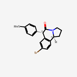 CSc1ccc([C@@H]2C(=O)N3CCC[C@H]3c3ccc(Br)cc32)cc1